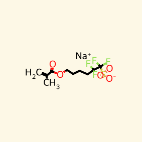 C=C(C)C(=O)OCCCCC(F)(F)C(F)(F)S(=O)(=O)[O-].[Na+]